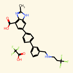 Cc1nc2c(C(=O)O)cc(-c3ccc(-c4cccc(CNCCC(F)(F)F)c4)cc3)cc2[nH]1.O=C(O)C(F)(F)F